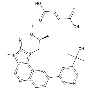 CO[C@@H](C)Cn1c(=O)n(C)c2cnc3ccc(-c4cncc(C(C)(C)O)c4)cc3c21.O=C(O)/C=C/C(=O)O